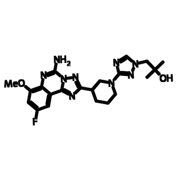 COc1cc(F)cc2c1nc(N)n1nc(C3CCCN(c4ncn(CC(C)(C)O)n4)C3)nc21